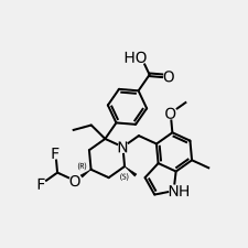 CCC1(c2ccc(C(=O)O)cc2)C[C@H](OC(F)F)C[C@H](C)N1Cc1c(OC)cc(C)c2[nH]ccc12